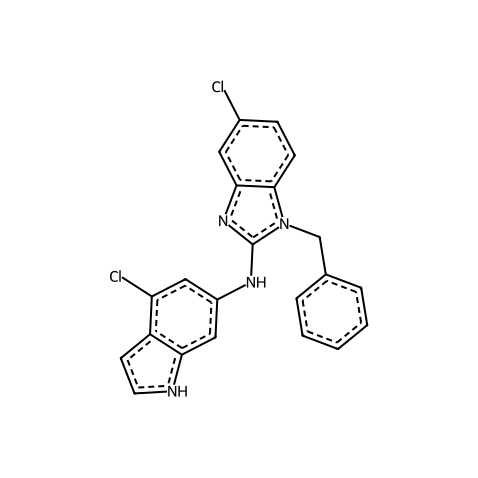 Clc1ccc2c(c1)nc(Nc1cc(Cl)c3cc[nH]c3c1)n2Cc1ccccc1